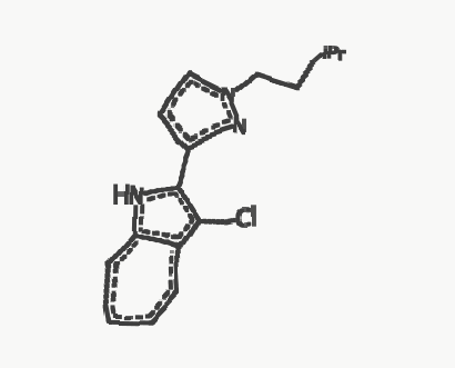 CC(C)CCn1ccc(-c2[nH]c3ccccc3c2Cl)n1